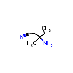 CCC(C)(N)CC#N